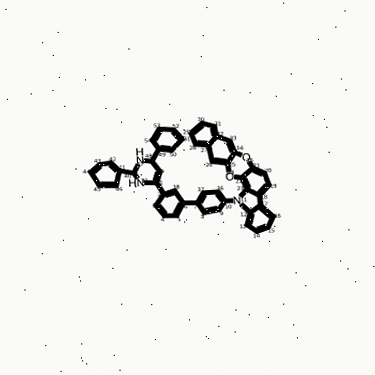 C1=C(c2cccc(-c3ccc(-n4c5ccccc5c5ccc6c(c54)Oc4cc5ccccc5cc4O6)cc3)c2)NC(c2ccccc2)NC1c1ccccc1